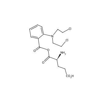 N[C@@H](CCC(=O)O)C(=O)OC(=O)c1ccccc1N(CCCl)CCCl